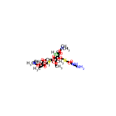 CCOC(=O)C(C)(C)CC(CC(C)C(=O)OCCN(C)C)C(=O)OCCSSCCOC(=O)C(CC(CC(C)(Cl)C(=O)OCCN(C)C)C(=O)OCCSSCCOC(=O)CNCCCN)CC(C)(C)C(=O)OCC